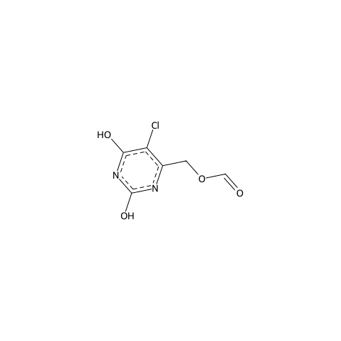 O=COCc1nc(O)nc(O)c1Cl